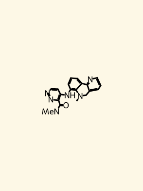 CNC(=O)c1nnccc1Nc1cccc2c1N(C)Cc1cccnc1-2